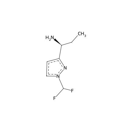 CC[C@H](N)c1ccn(C(F)F)n1